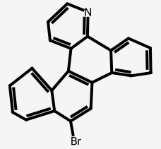 Brc1cc2c3ccccc3c3ncccc3c2c2ccccc12